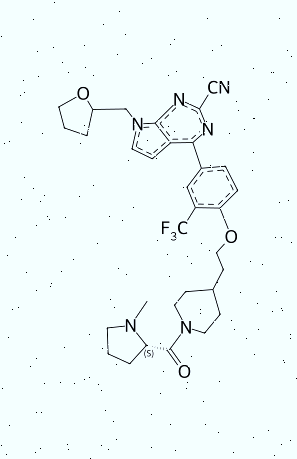 CN1CCC[C@H]1C(=O)N1CCC(CCOc2ccc(-c3nc(C#N)nc4c3ccn4CC3CCCO3)cc2C(F)(F)F)CC1